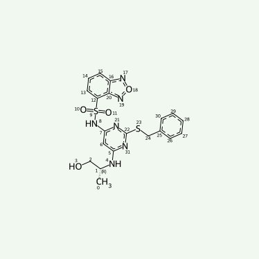 C[C@H](CO)Nc1cc(NS(=O)(=O)c2cccc3nonc23)nc(SCc2ccccc2)n1